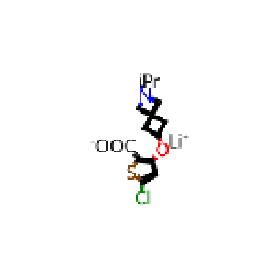 CC(C)N1CC2(CC(Oc3cc(Cl)sc3C(=O)[O-])C2)C1.[Li+]